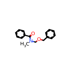 CN(COCc1ccccc1)C(=O)c1ccccc1